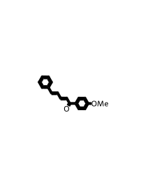 COc1ccc(C(=O)/C=C/C=C/c2ccccc2)cc1